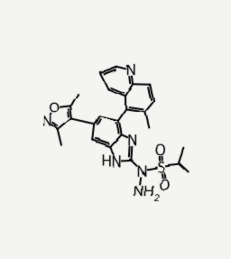 Cc1ccc2ncccc2c1-c1cc(-c2c(C)noc2C)cc2[nH]c(N(N)S(=O)(=O)C(C)C)nc12